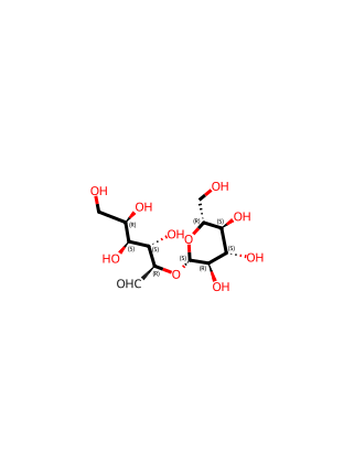 O=C[C@H](O[C@@H]1O[C@H](CO)[C@@H](O)[C@H](O)[C@H]1O)[C@@H](O)[C@@H](O)[C@H](O)CO